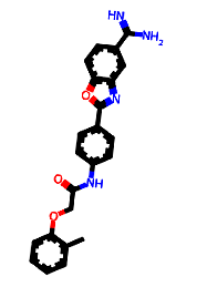 Cc1ccccc1OCC(=O)Nc1ccc(-c2nc3cc(C(=N)N)ccc3o2)cc1